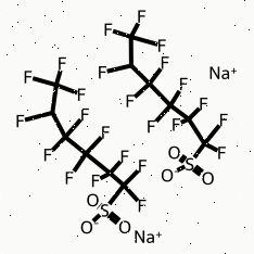 O=S(=O)([O-])C(F)(F)C(F)(F)C(F)(F)C(F)(F)C(F)C(F)(F)F.O=S(=O)([O-])C(F)(F)C(F)(F)C(F)(F)C(F)(F)C(F)C(F)(F)F.[Na+].[Na+]